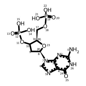 Nc1nc2c(ncn2[C@H]2CC(OP(=O)(O)O)[C@@H](COP(=O)(O)O)O2)c(=O)[nH]1